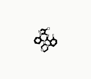 Fc1cccc(N2CCOCC2)c1C1=Nc2c(Cl)cnn2-c2ccccc2N1